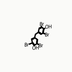 Oc1c(Br)cc(Cc2cc(Br)c(O)c(Br)c2)cc1Br